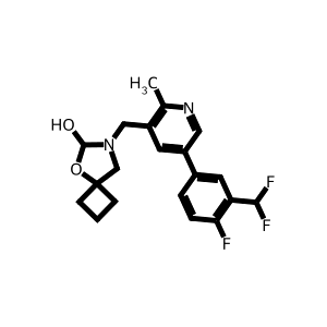 Cc1ncc(-c2ccc(F)c(C(F)F)c2)cc1CN1CC2(CCC2)OC1O